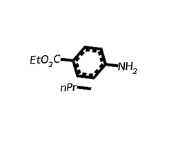 CCCC.CCOC(=O)c1ccc(N)cc1